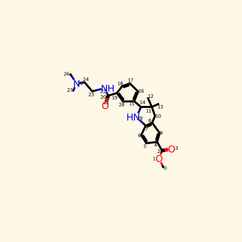 COC(=O)c1ccc2c(c1)CC(C)(C)C(c1cccc(C(=O)NCCN(C)C)c1)N2